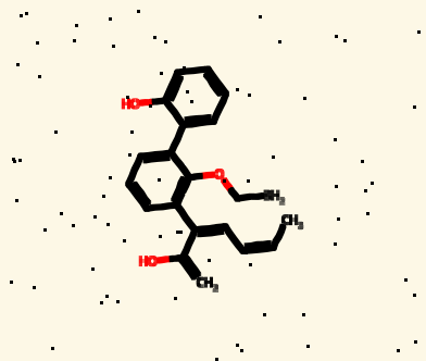 BCOc1c(/C(=C/C=C\C)C(=C)O)cccc1-c1ccccc1O